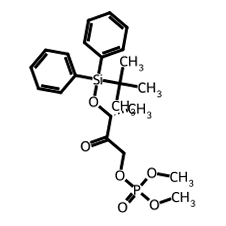 COP(=O)(OC)OCC(=O)[C@@H](C)O[Si](c1ccccc1)(c1ccccc1)C(C)(C)C